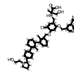 Cc1c(COc2cc(OCc3cncc(C#N)c3)c(CNC(C)(CO)C(=O)O)cc2Cl)cccc1-c1cccc(-c2ccc(C3CCCN3CCO)cc2)c1C